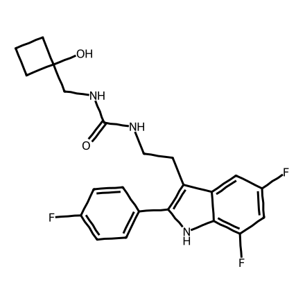 O=C(NCCc1c(-c2ccc(F)cc2)[nH]c2c(F)cc(F)cc12)NCC1(O)CCC1